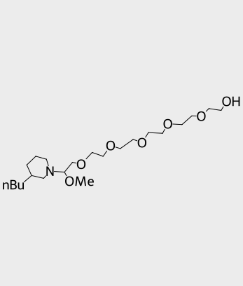 CCCCC1CCCN(C(COCCOCCOCCOCCOCCO)OC)C1